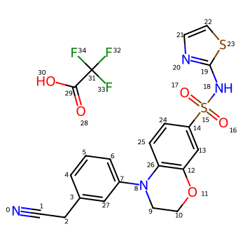 N#CCc1cccc(N2CCOc3cc(S(=O)(=O)Nc4nccs4)ccc32)c1.O=C(O)C(F)(F)F